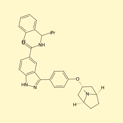 CC(C)C(NC(=O)c1ccc2[nH]nc(-c3ccc(O[C@@H]4C[C@H]5CC[C@@H](C4)N5C)cc3)c2c1)c1ccccc1Cl